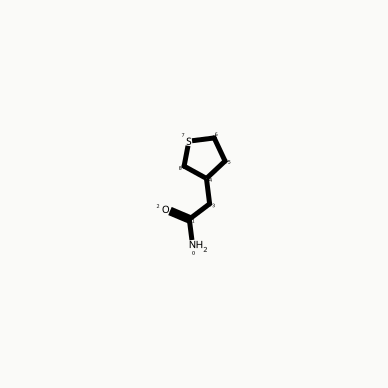 NC(=O)CC1CCSC1